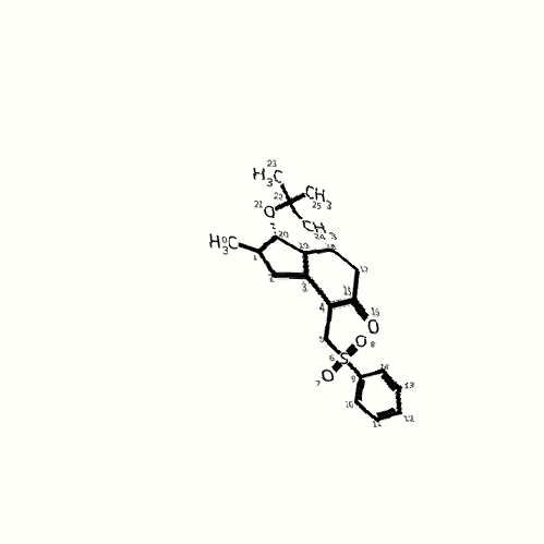 CC1CC2C(CS(=O)(=O)c3ccccc3)C(=O)CCC2[C@H]1OC(C)(C)C